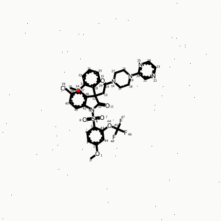 COc1ccc(S(=O)(=O)N2C(=O)C(CC(=O)N3CCN(c4cnccn4)CC3)(c3ccccc3OC)c3cc(Cl)ccc32)c(OC(F)(F)F)c1